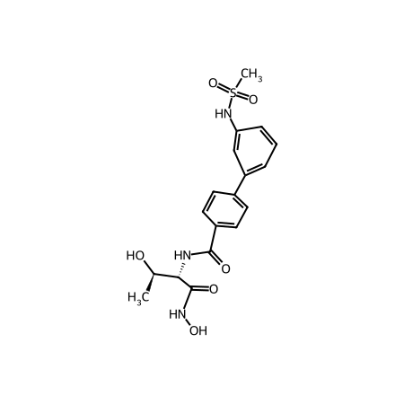 C[C@@H](O)[C@H](NC(=O)c1ccc(-c2cccc(NS(C)(=O)=O)c2)cc1)C(=O)NO